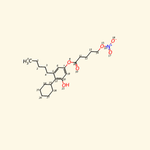 CCCCCc1cc(OC(=O)CCCCO[N+](=O)[O-])cc(O)c1C1CCCCC1